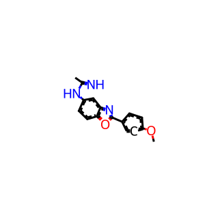 COc1ccc(-c2nc3cc(NC(C)=N)ccc3o2)cc1